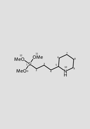 CO[Si](CCCC1CCCCN1)(OC)OC